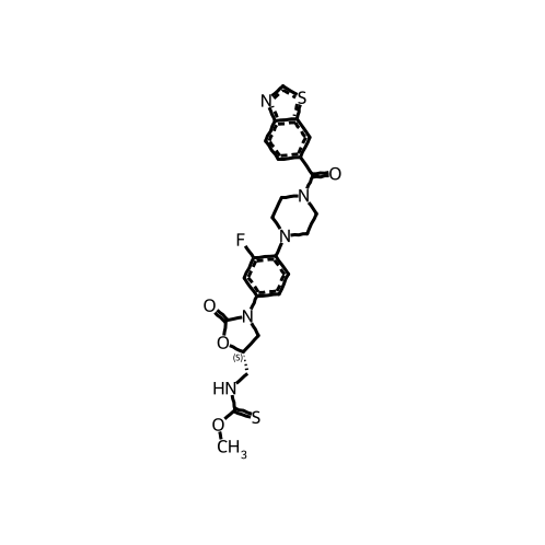 COC(=S)NC[C@H]1CN(c2ccc(N3CCN(C(=O)c4ccc5ncsc5c4)CC3)c(F)c2)C(=O)O1